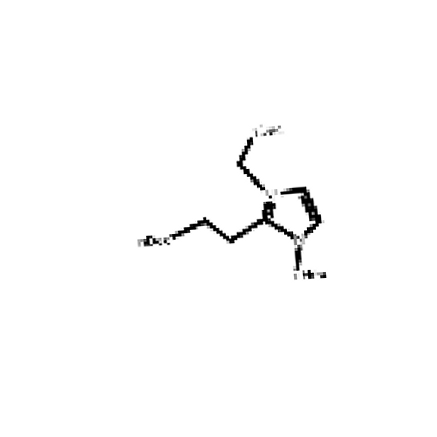 CCCCCCCCCCCCc1n(CCCCCC)cc[n+]1CCCCCCCCCCC